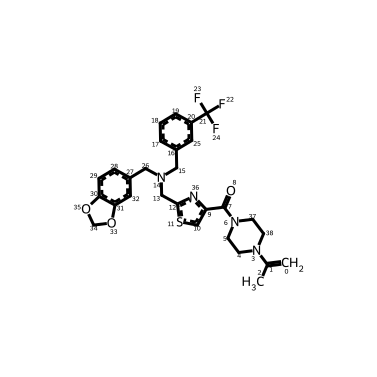 C=C(C)N1CCN(C(=O)c2csc(CN(Cc3cccc(C(F)(F)F)c3)Cc3ccc4c(c3)OCO4)n2)CC1